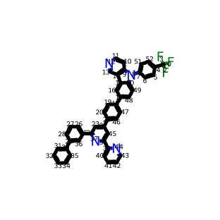 FC(F)(F)c1ccc(-n2c3ccncc3c3cc(-c4ccc(-c5cc(-c6cccc(-c7ccccc7)c6)nc(-c6ccccn6)c5)cc4)ccc32)cc1